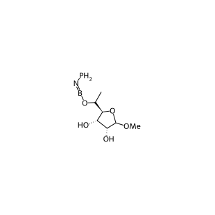 COC1O[C@H](C(C)OB=NP)[C@@H](O)[C@H]1O